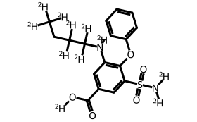 [2H]OC(=O)c1cc(N([2H])C([2H])([2H])C([2H])([2H])CC([2H])([2H])[2H])c(Oc2ccccc2)c(S(=O)(=O)N([2H])[2H])c1